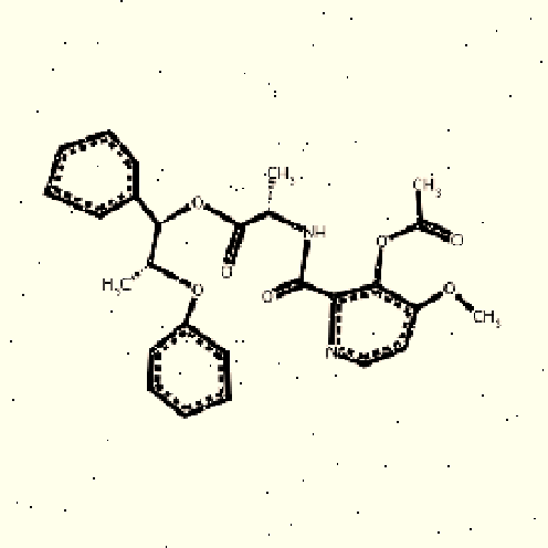 COc1ccnc(C(=O)N[C@@H](C)C(=O)O[C@H](c2ccccc2)[C@@H](C)Oc2ccccc2)c1OC(C)=O